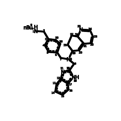 CCCCNCc1ccc(CN(Cc2nc3ccccc3[nH]2)C2C=C3C=CC=NC3CC2)cc1